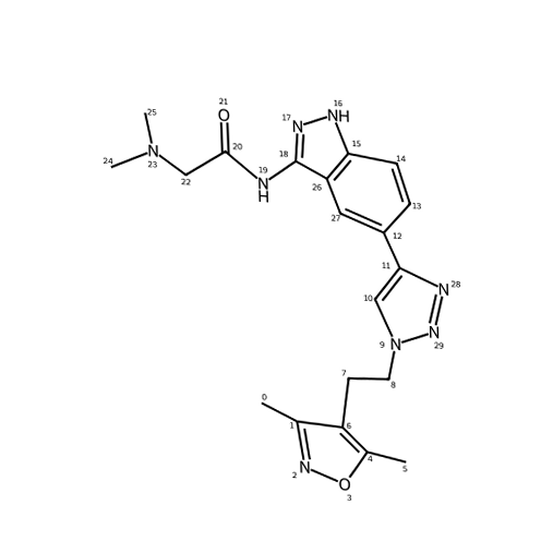 Cc1noc(C)c1CCn1cc(-c2ccc3[nH]nc(NC(=O)CN(C)C)c3c2)nn1